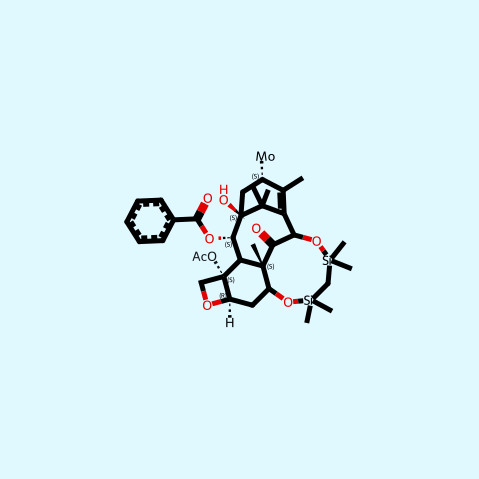 CC(=O)O[C@@]12CO[C@@H]1CC1O[Si](C)(C)C[Si](C)(C)OC3C(=O)[C@@]1(C)C2[C@H](OC(=O)c1ccccc1)[C@]1(O)C[C@H]([Mo])C(C)=C3C1(C)C